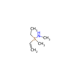 C=CS(C)(CC)NC